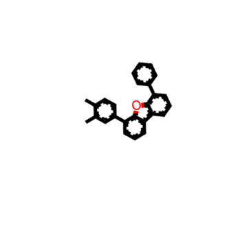 Cc1ccc(-c2cccc3c2oc2c(-c4ccccc4)cccc23)cc1C